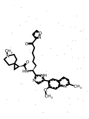 COc1cc2nc(C)ccc2cc1-c1cnc([C@H](CCCCCC(=O)c2ccon2)NC(=O)[C@H]2CC23CCN(C)CC3)[nH]1